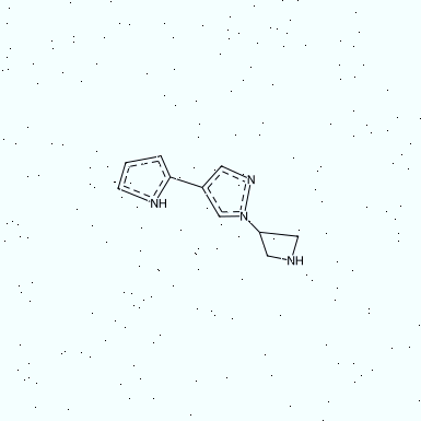 c1c[nH]c(-c2cnn(C3CNC3)c2)c1